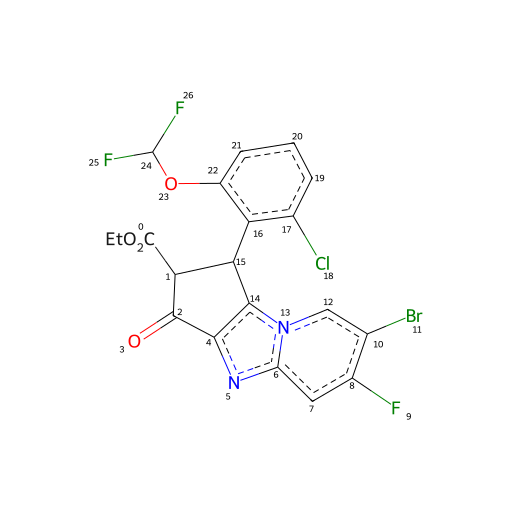 CCOC(=O)C1C(=O)c2nc3cc(F)c(Br)cn3c2C1c1c(Cl)cccc1OC(F)F